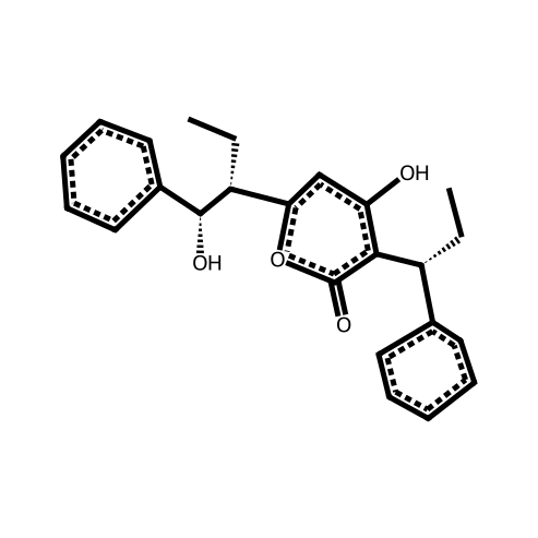 CC[C@H](c1ccccc1)c1c(O)cc([C@@H](CC)[C@H](O)c2ccccc2)oc1=O